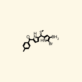 Bc1cc(C(SC)c2ccc(C(=O)c3ccc(C)cc3)[nH]2)[nH]c1Br